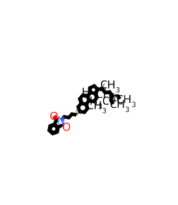 CC[C@H](CC[C@@H](C)C1CCC2[C@H]3CC=C4C[C@@H](CCCCN5C(=O)c6ccccc6C5=O)CCC4(C)C3CCC21C)C(C)C